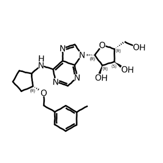 Cc1cccc(CO[C@@H]2CCCC2Nc2ncnc3c2ncn3[C@@H]2O[C@H](CO)[C@@H](O)[C@H]2O)c1